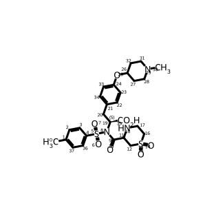 Cc1ccc(S(=O)(=O)N(C(=O)C2CS(=O)(=O)CCN2)[C@@H](Cc2ccc(OC3CCN(C)CC3)cc2)C(=O)O)cc1